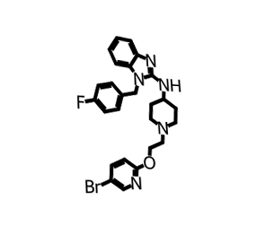 Fc1ccc(Cn2c(NC3CCN(CCOc4ccc(Br)cn4)CC3)nc3ccccc32)cc1